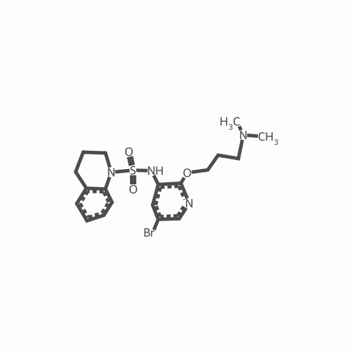 CN(C)CCCOc1ncc(Br)cc1NS(=O)(=O)N1CCCc2ccccc21